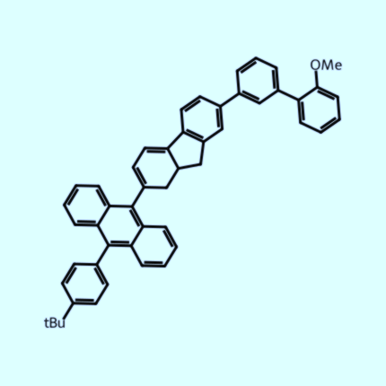 COc1ccccc1-c1cccc(-c2ccc3c(c2)CC2CC(c4c5ccccc5c(-c5ccc(C(C)(C)C)cc5)c5ccccc45)=CC=C32)c1